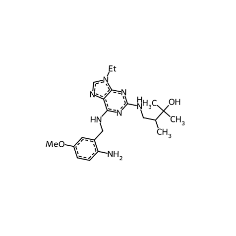 CCn1cnc2c(NCc3cc(OC)ccc3N)nc(NCC(C)C(C)(C)O)nc21